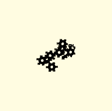 Cc1cccc(C#N)c1-n1c2ccccc2c2cc(-c3ccc4c5ccccc5n(-c5ccccc5)c4c3)ccc21